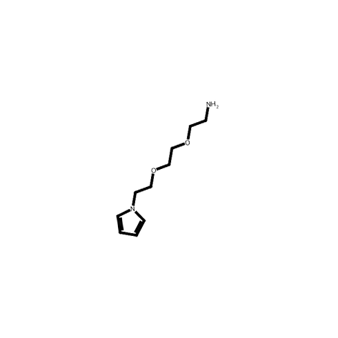 NCCOCCOCCn1cccc1